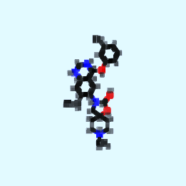 CCc1cccc(Oc2ncnc3cc(OC)c(N4CC5(CCN(C)CC5)OC4=O)cc23)c1